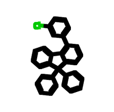 Clc1cccc(-c2cccc3c2-c2ccccc2C3(c2ccccc2)c2ccccc2)c1